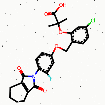 CC(C)(Oc1cc(Cl)ccc1COc1ccc(N2C(=O)C3=C(CCCC3)C2=O)c(F)c1)C(=O)O